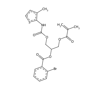 C=C(C)C(=O)OCC(COC(=O)Nc1sccc1C)OC(=O)c1ccccc1Br